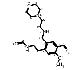 COc1cc(CCNC=O)c(CNCCN2CCOCC2)cc1C=O